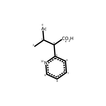 CC(=O)C(C)C(C(=O)O)c1ccccn1